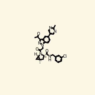 CC(=O)c1nn(CC(=O)N2[C@H](C(=O)NCc3cccc(Cl)c3)C[C@@]3(C)C[C@@H]23)c2ccc(-c3cnc(C)nc3)cc12